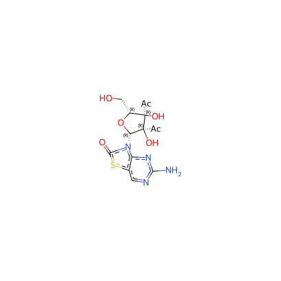 CC(=O)[C@@]1(O)[C@@H](CO)O[C@@H](n2c(=O)sc3cnc(N)nc32)[C@@]1(O)C(C)=O